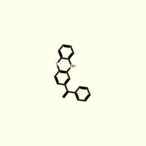 C=C(c1cc[c]cc1)c1ccc2c(c1)Nc1ccccc1S2